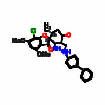 COc1cc(OC)c2c(c1Cl)O[C@]1(C2=O)C(N)C(CNc2ccc(-c3ccccc3)cc2)C(=O)C[C@H]1C